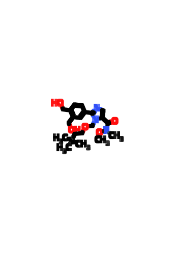 CON(C)C(=O)c1cnc(-c2ccc(CO)c(CO)c2)n1COCC[Si](C)(C)C